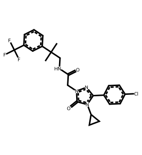 CC(C)(CNC(=O)Cn1nc(-c2ccc(Cl)cc2)n(C2CC2)c1=O)c1cccc(C(F)(F)F)c1